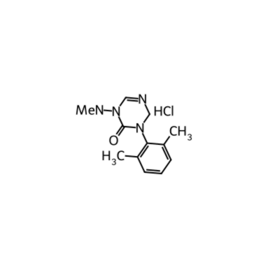 CNN1C=NCN(c2c(C)cccc2C)C1=O.Cl